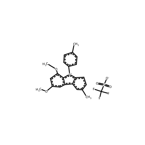 COc1cc(OC)c2c(c1)c1cc(C)ccc1[s+]2-c1ccc(C)cc1.O=S(=O)([O-])C(F)(F)F